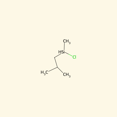 CC(C)C[SiH](C)Cl